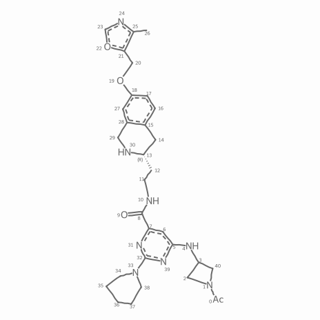 CC(=O)N1CC(Nc2cc(C(=O)NCC[C@H]3Cc4ccc(OCc5ocnc5C)cc4CN3)nc(N3CCCCC3)n2)C1